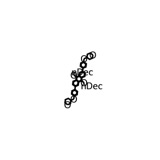 CCCCCCCCCCOc1c2ccc(-c3ccc(OC4CCCOC4)cc3)cc2c(OCCCCCCCCCC)c2ccc(-c3ccc(OC4CCOCC4)cc3)cc12